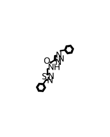 O=C(NCc1nnc(-c2ccccc2)s1)c1cn(Cc2ccccc2)nn1